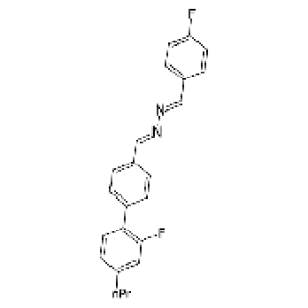 CCCc1ccc(-c2ccc(C=NN=Cc3ccc(F)cc3)cc2)c(F)c1